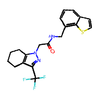 O=C(Cn1nc(C(F)(F)F)c2c1CCCC2)NCc1cccc2ccsc12